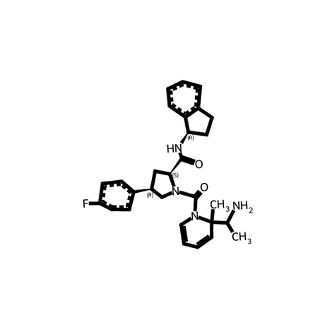 CC(N)C1(C)C=CC=CN1C(=O)N1C[C@@H](c2ccc(F)cc2)C[C@H]1C(=O)N[C@@H]1CCc2ccccc21